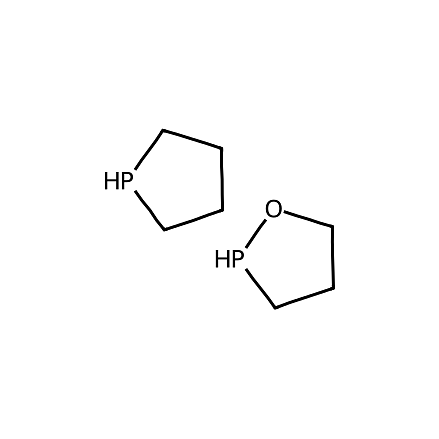 C1CCPC1.C1COPC1